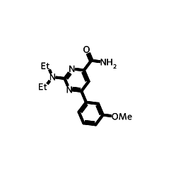 CCN(CC)c1nc(C(N)=O)cc(-c2cccc(OC)c2)n1